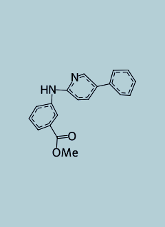 COC(=O)c1cccc(Nc2ccc(-c3ccccc3)cn2)c1